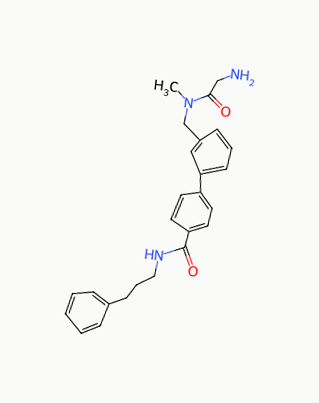 CN(Cc1cccc(-c2ccc(C(=O)NCCCc3ccccc3)cc2)c1)C(=O)CN